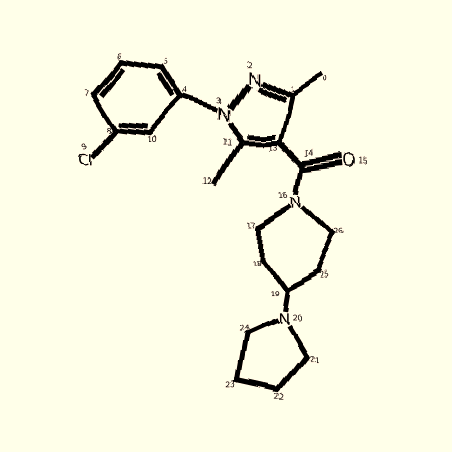 Cc1nn(-c2cccc(Cl)c2)c(C)c1C(=O)N1CCC(N2CCCC2)CC1